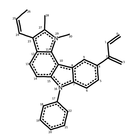 C=CC(=C)c1ccc2c(c1)c1c3c(ccc1n2-c1ccccc1)c(/C=C\C)c(C)n3C